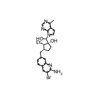 CC[C@@H]1[C@H](Cc2ccc3cc(Br)c(N)nc3c2)CC[C@]1(O)[C@@H](O)n1ccc2c(C)ncnc21